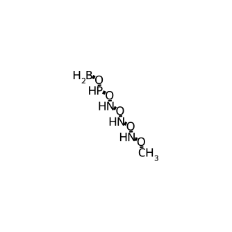 BOPONONONOC